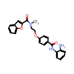 Nc1ccccc1NC(=O)c1ccc(OCCN(C(=O)c2cc3ccccc3o2)C(F)(F)F)cc1